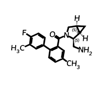 Cc1ccc(-c2ccc(F)c(C)c2)c(C(=O)N2C[C@H]3C[C@H]3[C@H]2CN)c1